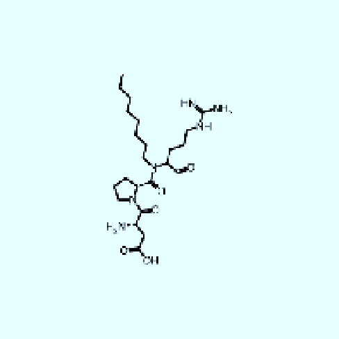 CCCCCCCCN(C(=O)[C@@H]1CCCN1C(=O)[C@@H](N)CC(=O)O)[C@H](C=O)CCCNC(=N)N